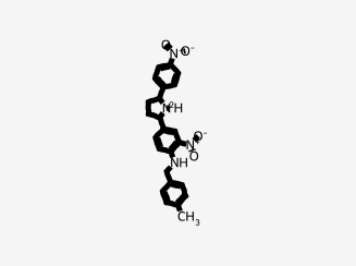 [2H]N1C(c2ccc([N+](=O)[O-])cc2)CCC1c1ccc(NCc2ccc(C)cc2)c([N+](=O)[O-])c1